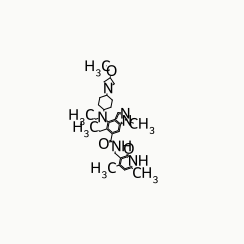 CCc1c(C(=O)NCc2c(C)cc(C)[nH]c2=O)cc2c(cnn2C)c1N(CC)[C@H]1CC[C@@H](N2CC(OC)C2)CC1